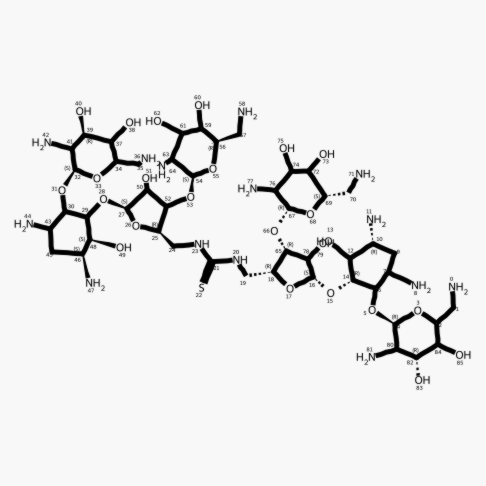 NCC1O[C@H](OC2C(N)C[C@@H](N)C(O)[C@H]2O[C@@H]2O[C@H](CNC(=S)NC[C@H]3O[C@@H](OC4C(O[C@@H]5OC(CN)C(O)[C@H](O)C5N)C(N)C[C@H](N)[C@@H]4O)C(O)C3O[C@@H]3O[C@H](CN)C(O)C(O)C3N)[C@H](O[C@H]3O[C@@H](CN)C(O)C(O)C3N)C2O)C(N)[C@@H](O)C1O